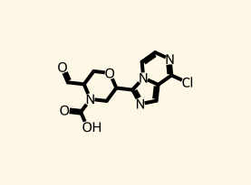 O=CC1COC(c2ncc3c(Cl)nccn23)CN1C(=O)O